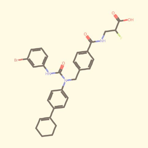 O=C(NCC(F)C(=O)O)c1ccc(CN(C(=O)Nc2cccc(Br)c2)c2ccc(C3=CCCCC3)cc2)cc1